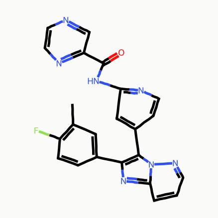 Cc1cc(-c2nc3cccnn3c2-c2ccnc(NC(=O)c3cnccn3)c2)ccc1F